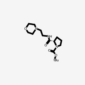 CC(C)(C)OC(=O)N1CCC[C@H]1C(=O)NCCN1CCOCC1